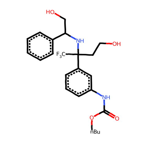 CCCCOC(=O)Nc1cccc(C(CCO)(NC(CO)c2ccccc2)C(F)(F)F)c1